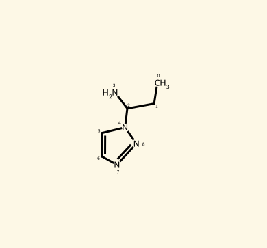 CCC(N)n1ccnn1